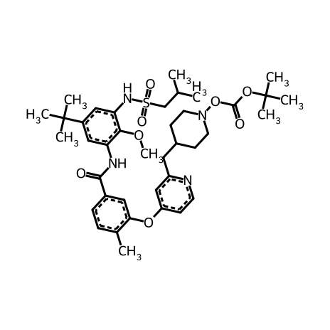 COc1c(NC(=O)c2ccc(C)c(Oc3ccnc(CC4CCN(OC(=O)OC(C)(C)C)CC4)c3)c2)cc(C(C)(C)C)cc1NS(=O)(=O)CC(C)C